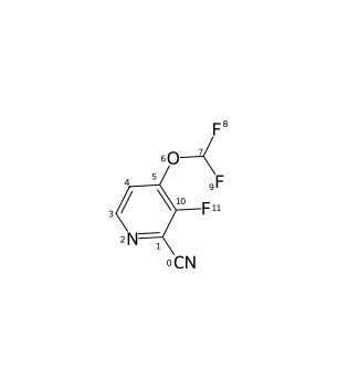 N#Cc1nccc(OC(F)F)c1F